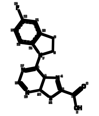 O=C(O)C1=NC2C(N3CCc4cc(F)ccc43)=NC=NC2S1